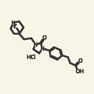 Cl.O=C(O)CCc1ccc(N2CCN(CCC34CCN(CC3)CC4)C2=O)cc1